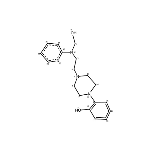 OCN(CCN1CCN(C2=C(O)C=C=C=C2)CC1)c1ccccn1